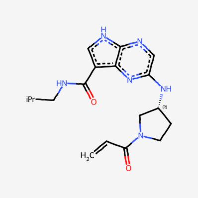 C=CC(=O)N1CC[C@@H](Nc2cnc3[nH]cc(C(=O)NCC(C)C)c3n2)C1